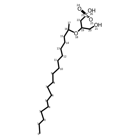 CCCCCCCCCCCCCCCCC(C)OC(CO)CS(=O)(=O)O